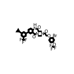 O=C1Nc2ccc(-c3cc(C4CC4)cc(C(F)(F)F)c3)cc2C(=O)N2CCN(C(=O)COc3ccc(OC(F)(F)F)cc3Br)CC12